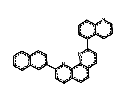 c1ccc2cc(-c3ccc4ccc5ccc(-c6cccc7ncccc67)nc5c4n3)ccc2c1